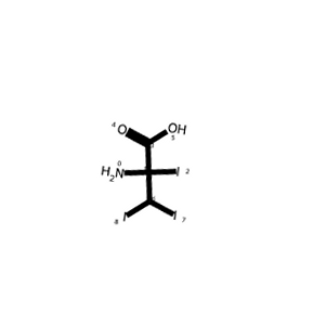 NC(I)(C(=O)O)C(I)I